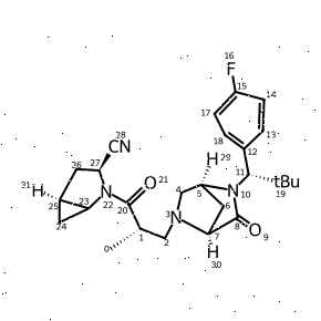 C[C@@H](CN1C[C@@H]2C[C@H]1C(=O)N2[C@H](c1ccc(F)cc1)C(C)(C)C)C(=O)N1C2C[C@H]2C[C@H]1C#N